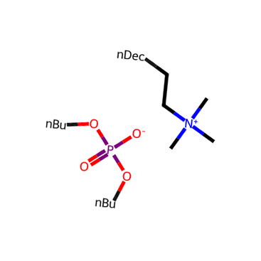 CCCCCCCCCCCC[N+](C)(C)C.CCCCOP(=O)([O-])OCCCC